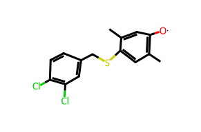 Cc1cc(SCc2ccc(Cl)c(Cl)c2)c(C)cc1[O]